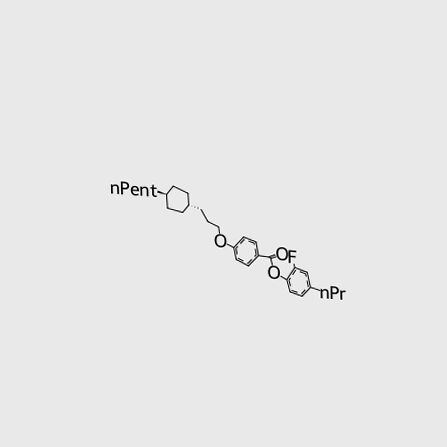 CCCCC[C@H]1CC[C@H](CCCOc2ccc(C(=O)Oc3ccc(CCC)cc3F)cc2)CC1